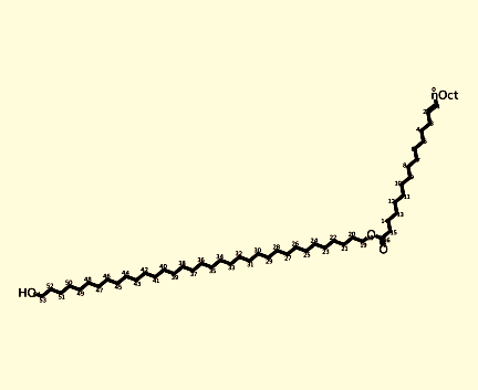 CCCCCCCCC=CCCCCCCCCCCCCCC(=O)OCCCCCCCCCCCCCCCCCCCCCCCCCCCCCCCCCCCO